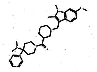 COc1ccc2c(CN3CCCC(C(=O)N4CCC(c5ccccc5)(N(C)C)CC4)C3)c(C)n(C)c2c1